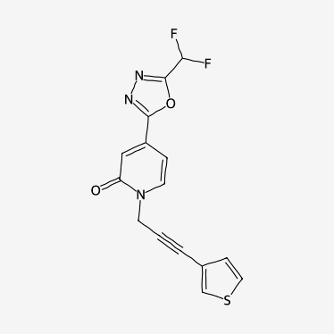 O=c1cc(-c2nnc(C(F)F)o2)ccn1CC#Cc1ccsc1